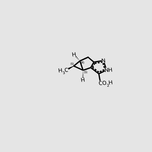 C[C@H]1[C@H]2Cc3n[nH]c(C(=O)O)c3[C@@H]12